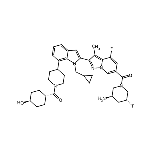 Cc1c(-c2cc3cccc(C4CCN(C(=O)[C@H]5CC[C@H](O)CC5)CC4)c3n2CC2CC2)nn2cc(C(=O)N3C[C@H](N)C[C@@H](F)C3)cc(F)c12